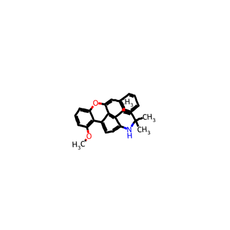 COc1cccc2c1-c1ccc3c(c1/C(=C\c1ccccc1)O2)C(C)=CC(C)(C)N3